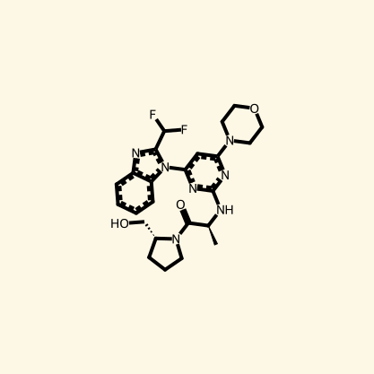 C[C@H](Nc1nc(N2CCOCC2)cc(-n2c(C(F)F)nc3ccccc32)n1)C(=O)N1CCC[C@@H]1CO